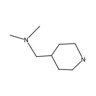 CN(C)CC1CC[N]CC1